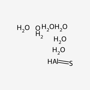 O.O.O.O.O.O.[AlH]=[S]